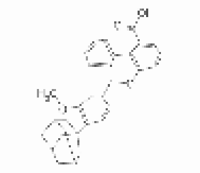 COc1cc(COc2cccc(C(=O)O)c2-c2ccccc2)ccc1C12CC3CC(CC(C3)C1)C2